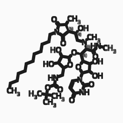 CCCCCCCCCCCCN1C(=O)C(C)[C@@H]([C@@H](O)CN(C)[C@H](C(=O)NC)[C@H](OC2OC(CNC(=O)OC(C)(C)C)C(O)C2O)C2OC(n3ccc(=O)[nH]c3=O)C(O)C2O)C1=O